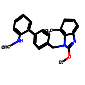 CCOc1nc2cccc(C(=O)O)c2n1Cc1ccc(-c2ccccc2NC=O)cc1